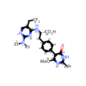 CCN(CC)c1ncc(CC(F)(F)F)c(N[C@@H](Cc2ccc(-c3c(OC)nc(C(C)C)[nH]c3=O)cc2)C(=O)O)n1